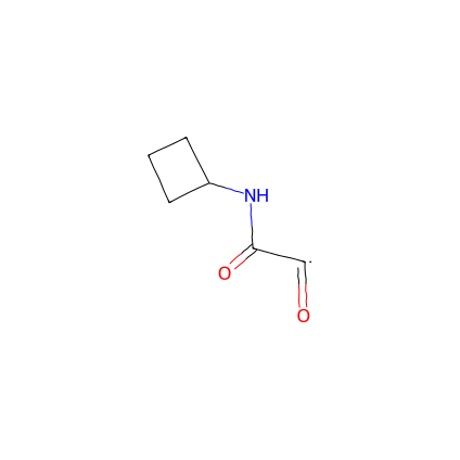 O=[C]C(=O)NC1CCC1